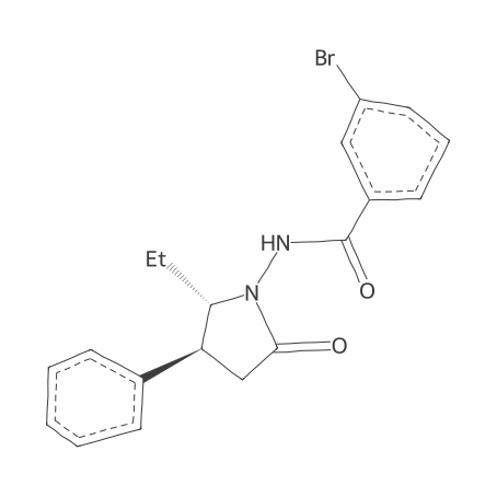 CC[C@H]1[C@H](c2ccccc2)CC(=O)N1NC(=O)c1cccc(Br)c1